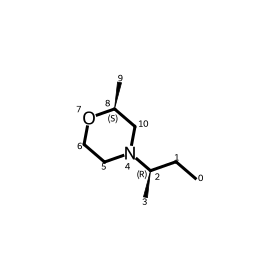 CC[C@@H](C)N1CCO[C@@H](C)C1